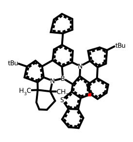 CC(C)(C)c1ccc(N2c3cc(-c4ccccc4)cc4c3B(c3c2ccc2c3sc3ccccc32)N2c3c-4cc(C(C)(C)C)cc3C3(C)CCCCC23C)c(-c2ccccc2)c1